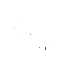 Cc1ccc(C2=C(O)c3ncccc3CS2(=O)=O)c(Cl)c1OS(=O)(=O)N(C)C